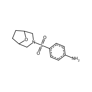 Nc1ccc(S(=O)(=O)N2CC3CCC(C2)O3)cc1